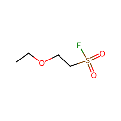 CCOCCS(=O)(=O)F